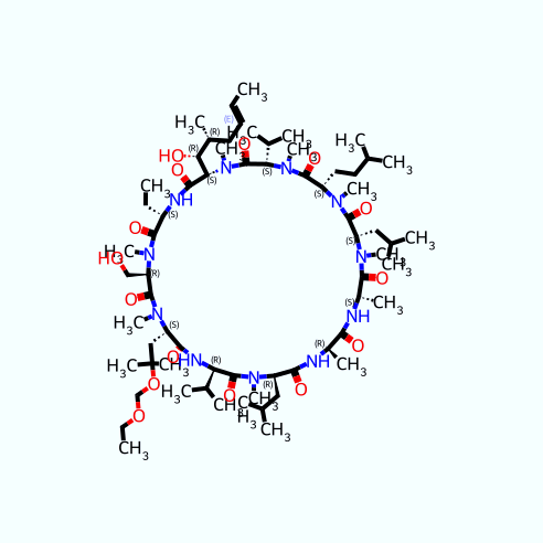 C/C=C/C[C@@H](C)[C@@H](O)[C@H]1C(=O)N[C@@H](CC)C(=O)N(C)[C@H](CO)C(=O)N(C)[C@@H](CC(C)(C)OCOCC)C(=O)N[C@H](C(C)C)C(=O)N(C)[C@H](CC(C)C)C(=O)N[C@H](C)C(=O)N[C@@H](C)C(=O)N(C)[C@@H](CC(C)C)C(=O)N(C)[C@@H](CCC(C)C)C(=O)N(C)[C@@H](C(C)C)C(=O)N1C